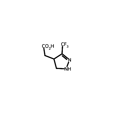 O=C(O)CC1CNN=C1C(F)(F)F